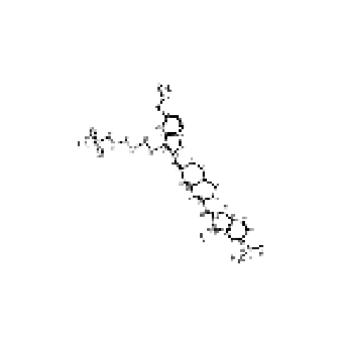 COSc1ccc2sc(/C=C3/C=C4C=C(/C=C5\Sc6ccc([S+](C)[O-])cc6N5C)CCC4CC3)[n+](CCOCCCS(=O)(=O)O)c2c1